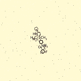 Cc1c(F)cncc1C(=O)Nc1ccc(C(C)(C)C2=CC=C(N3CCCC3)NC2C)cc1